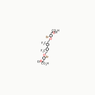 CCO[C@@H](Cc1ccc(OCCCc2ccc(-c3ccc(CCCOc4ccc(C[C@H](OCC)C(=O)O)cc4Br)c(C(F)(F)F)c3)cc2C(F)(F)F)c(Br)c1)C(=O)O